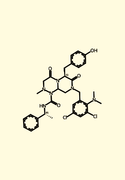 C[C@@H](NC(=O)N1C2CN(Cc3cc(Cl)cc(Cl)c3N(C)C)C(=O)[C@H](Cc3ccc(O)cc3)N2C(=O)CN1C)c1ccccc1